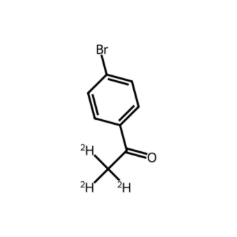 [2H]C([2H])([2H])C(=O)c1ccc(Br)cc1